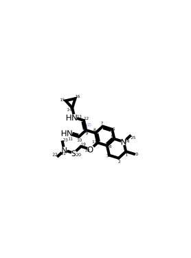 CC1CCc2c(ccc(/C(C=N)=C/NC3CC3)c2OCSN(C)C)N1C